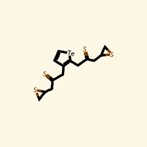 S=C(Cc1cc[te]c1CC(=S)CC1CS1)CC1CS1